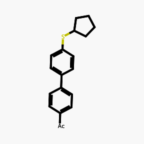 CC(=O)c1ccc(-c2ccc(SC3CCCC3)cc2)cc1